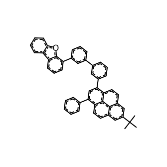 CC(C)(C)c1cc2ccc3c(-c4ccccc4)cc(-c4cccc(-c5cccc(-c6cccc7c6oc6ccccc67)c5)c4)c4ccc(c1)c2c34